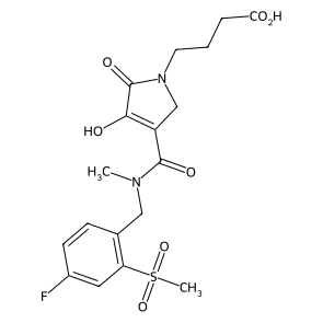 CN(Cc1ccc(F)cc1S(C)(=O)=O)C(=O)C1=C(O)C(=O)N(CCCC(=O)O)C1